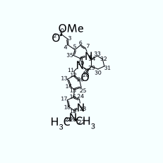 COC(=O)/C=C/c1ccnc(N(Cc2ccc(-c3ccc(N(C)C)nc3)cc2)C(=O)C2CCCCC2)c1